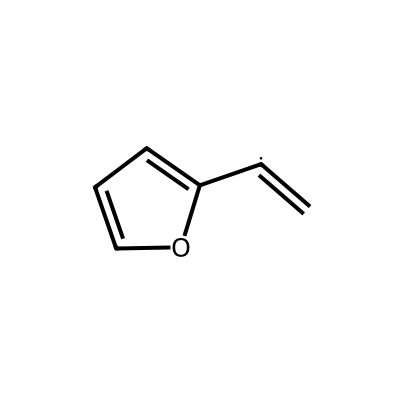 C=[C]c1ccco1